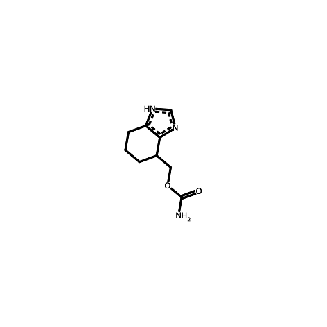 NC(=O)OCC1CCCc2[nH]cnc21